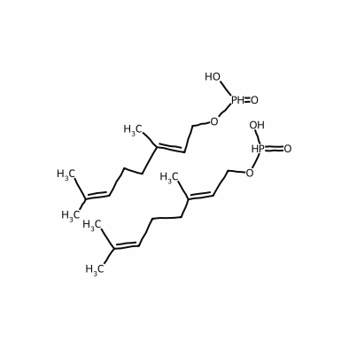 CC(C)=CCC/C(C)=C/CO[PH](=O)O.CC(C)=CCC/C(C)=C/CO[PH](=O)O